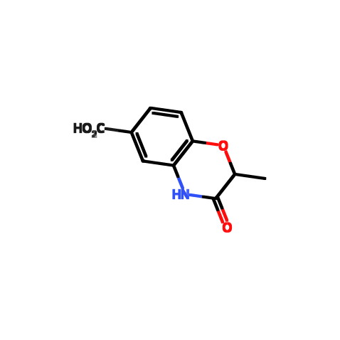 CC1Oc2ccc(C(=O)O)cc2NC1=O